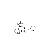 CC1NCCC=C1c1nsnc1OCCC1CCCCC1